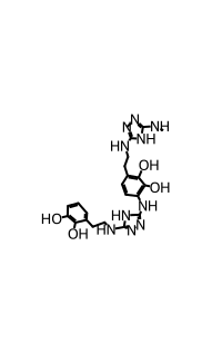 CNc1nnc(NCCc2ccc(Nc3nnc(NCCc4cccc(O)c4O)[nH]3)c(O)c2O)[nH]1